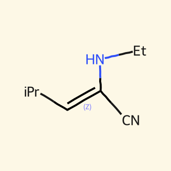 CCN/C(C#N)=C\C(C)C